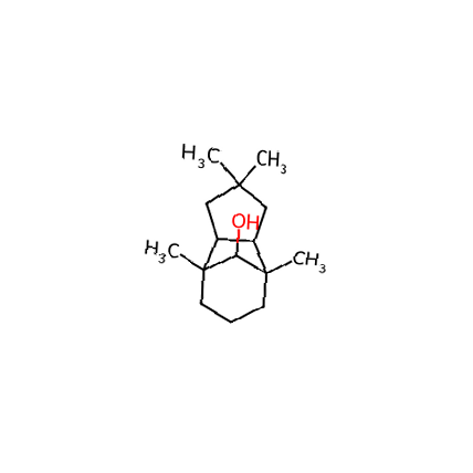 CC1(C)CC2C(C1)C1(C)CCCC2(C)C1O